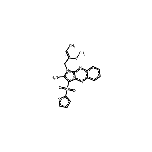 C/C=C(/Cn1c(N)c(S(=O)(=O)c2cccs2)c2nc3ccccc3nc21)SC